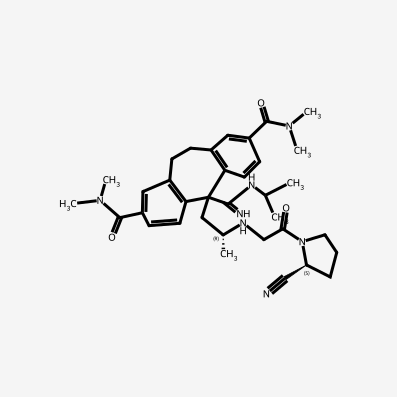 CC(C)NC(=N)C1(C[C@@H](C)NCC(=O)N2CCC[C@H]2C#N)c2ccc(C(=O)N(C)C)cc2CCc2cc(C(=O)N(C)C)ccc21